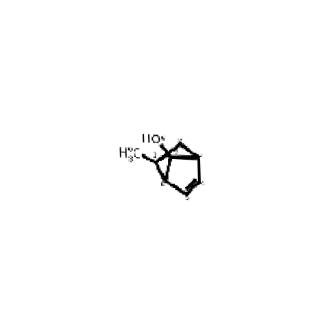 CC1CC2C=CC1C2O